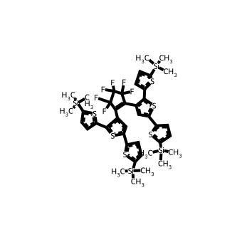 C[Si](C)(C)c1ccc(-c2cc(C3=C(c4cc(-c5ccc([Si](C)(C)C)s5)sc4-c4ccc([Si](C)(C)C)s4)C(F)(F)C(F)(F)C3(F)F)c(-c3ccc([Si](C)(C)C)s3)s2)s1